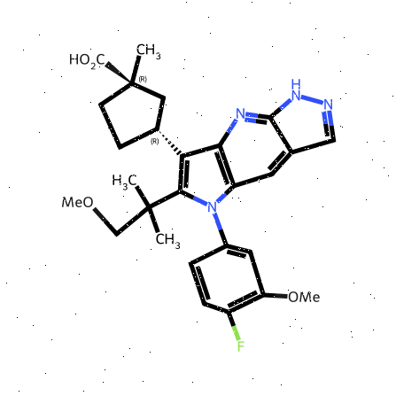 COCC(C)(C)c1c([C@@H]2CC[C@@](C)(C(=O)O)C2)c2nc3[nH]ncc3cc2n1-c1ccc(F)c(OC)c1